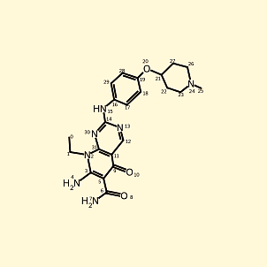 CCn1c(N)c(C(N)=O)c(=O)c2cnc(Nc3ccc(OC4CCN(C)CC4)cc3)nc21